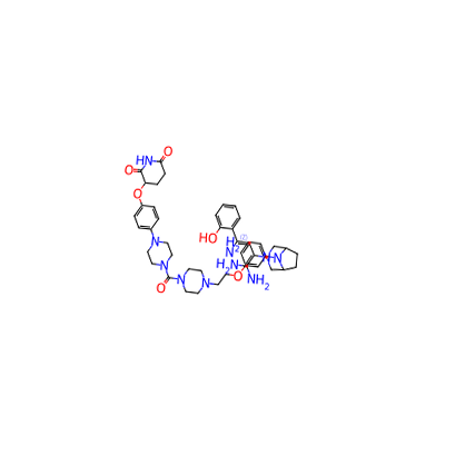 NC(N)=C(/C=C(\N)c1ccccc1O)N1CC2CCC(C1)N2c1cccc(OCCN2CCN(C(=O)N3CCN(c4ccc(OC5CCC(=O)NC5=O)cc4)CC3)CC2)c1